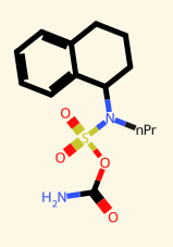 CCCN(C1CCCc2ccccc21)S(=O)(=O)OC(N)=O